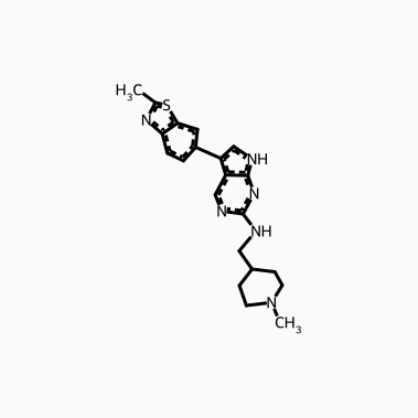 Cc1nc2ccc(-c3c[nH]c4nc(NCC5CCN(C)CC5)ncc34)cc2s1